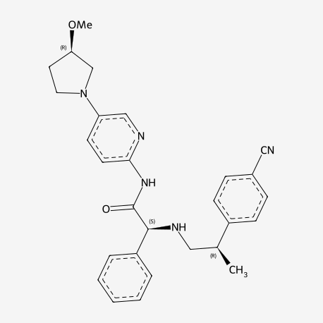 CO[C@@H]1CCN(c2ccc(NC(=O)[C@@H](NC[C@H](C)c3ccc(C#N)cc3)c3ccccc3)nc2)C1